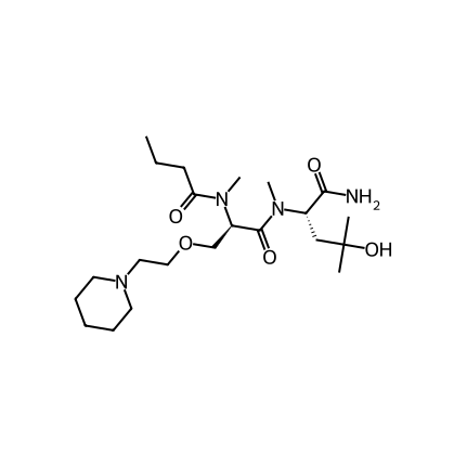 CCCC(=O)N(C)[C@H](COCCN1CCCCC1)C(=O)N(C)[C@@H](CC(C)(C)O)C(N)=O